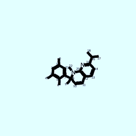 Cc1cc(C)c(C)c(C2(C)C=Cc3ccc(C(C)C)nc3N2C)c1